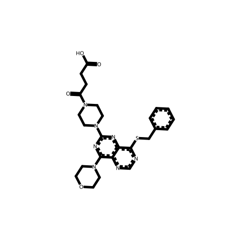 O=C(O)CCC(=O)N1CCN(c2nc(N3CCOCC3)c3ncnc(SCc4ccccc4)c3n2)CC1